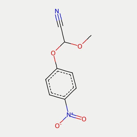 COC(C#N)Oc1ccc([N+](=O)[O-])cc1